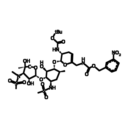 C[C@H]1C[C@@H](NS(C)(=O)=O)[C@H](O[C@H]2OC[C@](C)(O)[C@H](N(C)S(C)(=O)=O)[C@H]2O)[C@@H](O)[C@@H]1O[C@H]1OC(CNC(=O)OCc2cccc([N+](=O)[O-])c2)=CC[C@H]1NC(=O)OC(C)(C)C